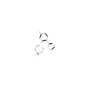 O=[N+]([O-])c1ccc(-c2ncco2)c(N2CCC(F)(F)CC2)c1